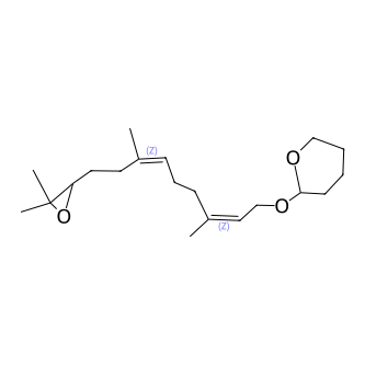 C/C(=C/COC1CCCCO1)CC/C=C(/C)CCC1OC1(C)C